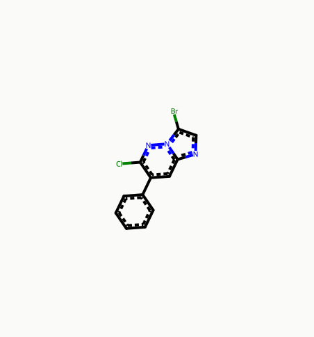 Clc1nn2c(Br)cnc2cc1-c1ccccc1